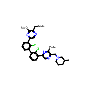 CNCc1ncc(-c2cccc(-c3cccc(-c4cnc(CN5CCCC(C)C5)c(OC)n4)c3Cl)c2Cl)nc1OC